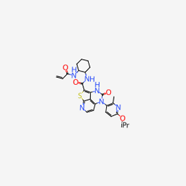 C=CC(=O)N[C@H]1CCCC[C@H]1NC(=O)c1sc2nccc3c2c1NC(=O)N3c1ccc(OC(C)C)nc1C